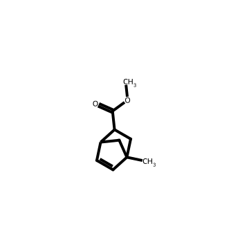 COC(=O)C1CC2(C)C=CC1C2